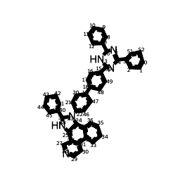 c1ccc(C2=NC(c3ccccc3)NC(c3ccc(-c4ccc(N5c6c(c7cnccc7c7ccccc67)NC5c5ccccc5)cc4)cc3)=N2)cc1